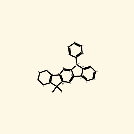 CC1(C)C2=C(CCCC2)c2cc3c(cc21)c1ccccc1n3-c1ccccc1